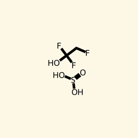 O=S(O)O.OC(F)(F)CF